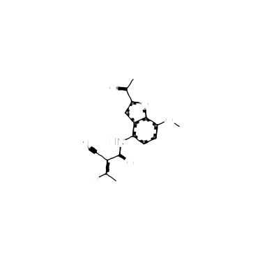 COc1ccc(NC(=O)/C(C#N)=C(\C)O)c2cc(C(C)=O)oc12